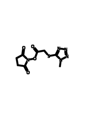 Cn1nnnc1SCC(=O)ON1C(=O)CCC1=O